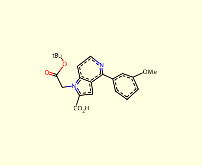 COc1cccc(-c2nccc3c2cc(C(=O)O)n3CC(=O)OC(C)(C)C)c1